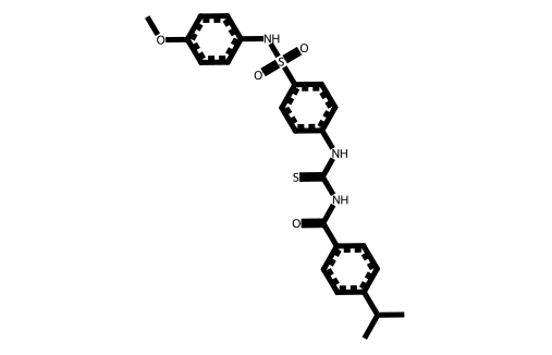 COc1ccc(NS(=O)(=O)c2ccc(NC(=S)NC(=O)c3ccc(C(C)C)cc3)cc2)cc1